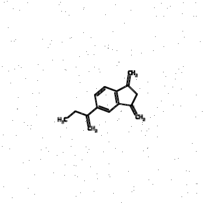 C=C(CC)c1ccc2c(c1)C(=C)CC2=C